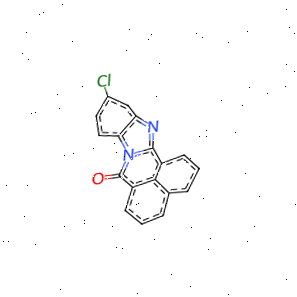 O=c1c2cccc3cccc(c32)c2nc3cc(Cl)ccc3n12